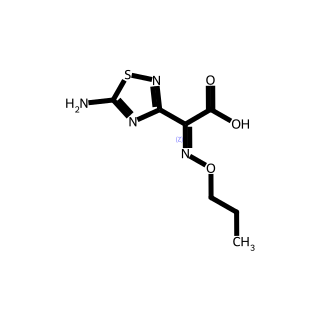 CCCO/N=C(\C(=O)O)c1nsc(N)n1